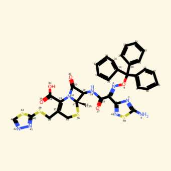 Nc1nc(C(=NOC(c2ccccc2)(c2ccccc2)c2ccccc2)C(=O)NC2C(=O)N3C(C(=O)O)=C(CSc4nncs4)CS[C@@H]23)ns1